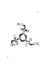 CCS(=O)(=O)N1CN(S(=O)(=O)CC)CN(S(=O)(=O)CC)C1